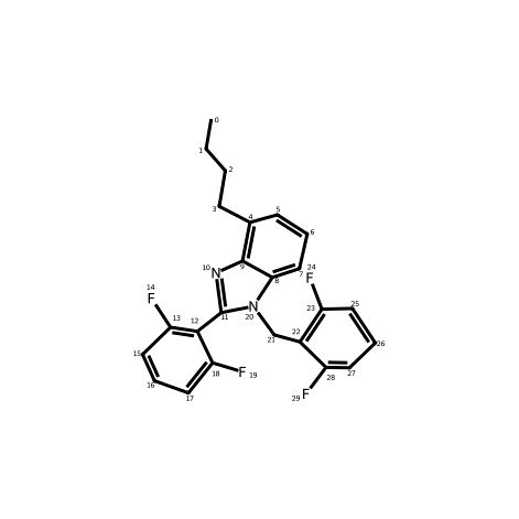 CCCCc1cccc2c1nc(-c1c(F)cccc1F)n2Cc1c(F)cccc1F